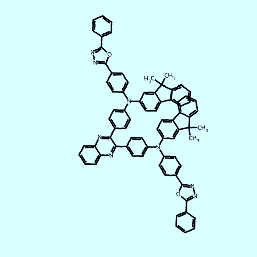 CC1(C)c2ccccc2-c2ccc(N(c3ccc(-c4nnc(-c5ccccc5)o4)cc3)c3ccc(-c4nc5ccccc5nc4-c4ccc(N(c5ccc(-c6nnc(-c7ccccc7)o6)cc5)c5ccc6c(c5)C(C)(C)c5ccccc5-6)cc4)cc3)cc21